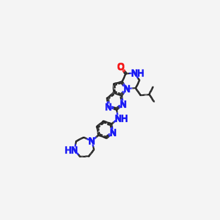 CC(C)CC1CNC(=O)c2cc3cnc(Nc4ccc(N5CCCNCC5)cn4)nc3n21